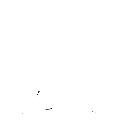 COc1ccc([C@H]2C[N]C[C@H]2C)cc1OCC#Cc1ccc(C(F)(F)F)cc1